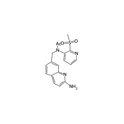 CC(=O)N(Cc1ccc2ccc(N)nc2c1)c1cccnc1S(C)(=O)=O